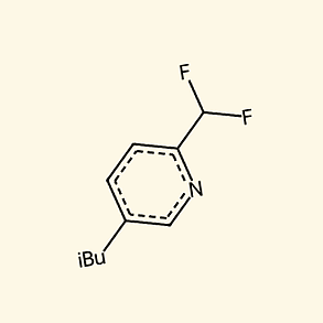 CCC(C)c1ccc(C(F)F)nc1